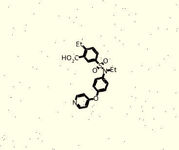 CCc1ccc(S(=O)(=O)N(CC)c2ccc(Oc3ccncc3)cc2)cc1C(=O)O